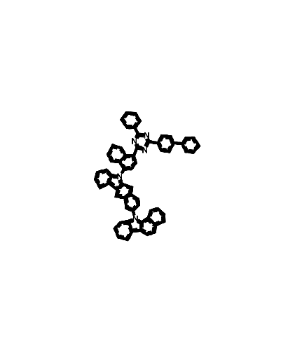 c1ccc(-c2ccc(-c3nc(-c4ccccc4)nc(-c4ccc(-n5c6ccccc6c6cc7cc(-n8c9ccccc9c9ccc%10ccccc%10c98)ccc7cc65)c5ccccc45)n3)cc2)cc1